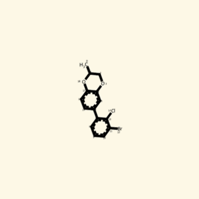 CC1COc2cc(-c3cccc(Br)c3Cl)ccc2O1